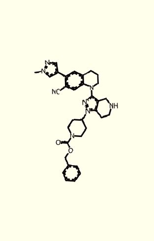 Cn1cc(-c2cc3c(cc2C#N)N(c2nn(C4CCN(C(=O)OCc5ccccc5)CC4)c4c2CNCC4)CCC3)cn1